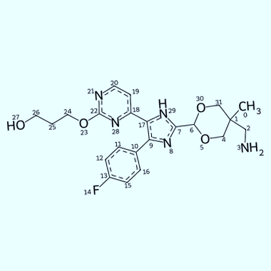 CC1(CN)COC(c2nc(-c3ccc(F)cc3)c(-c3ccnc(OCCCO)n3)[nH]2)OC1